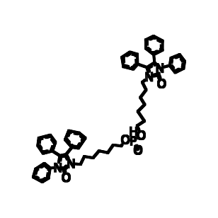 O=c1n(CCCCCCCO[PH](=O)OCCCCCCCn2c(-c3ccccc3)c(-c3ccccc3)n(-c3ccccc3)c2=O)c(-c2ccccc2)c(-c2ccccc2)n1-c1ccccc1